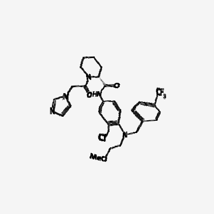 COCCN(Cc1ccc(C(F)(F)F)cc1)c1ccc(NC(=O)[C@H]2CCCCN2C(=O)Cn2ccnc2)cc1Cl